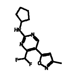 Cc1cc(-c2cnc(NC3CCCC3)nc2C(F)F)on1